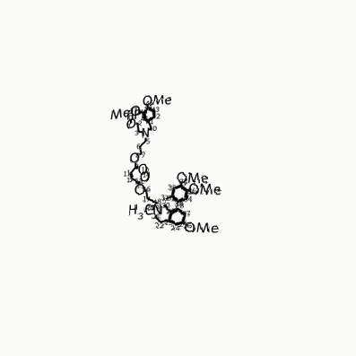 CCCOCCN(CCCOC(=O)/C=C\C(=O)OCCC[N@+]1(C)CCc2cc(OC)ccc2[C@H]1Cc1ccc(OC)c(OC)c1)Cc1ccc(OC)c(OC)c1